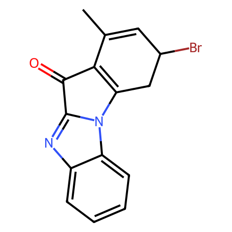 CC1=CC(Br)CC2=C1C(=O)c1nc3ccccc3n12